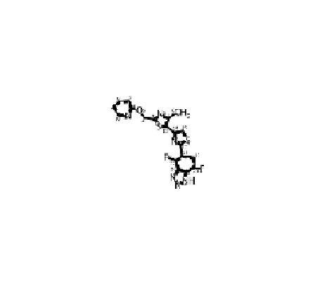 Cc1nc(COc2ccccn2)sc1-c1csc(-c2cc(F)c3[nH]nnc3c2F)n1